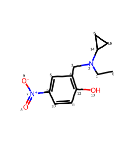 CCN(Cc1cc([N+](=O)[O-])ccc1O)C1CC1